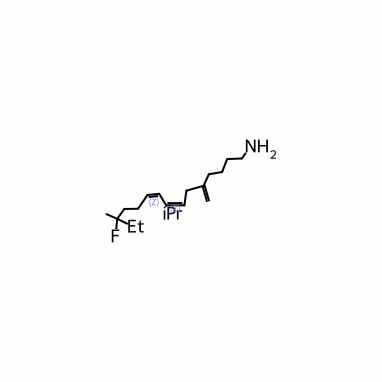 C=C(C/C=C(\C=C/CCC(C)(F)CC)C(C)C)CCCCN